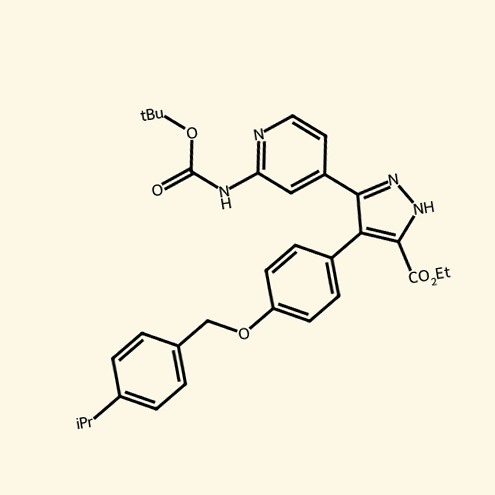 CCOC(=O)c1[nH]nc(-c2ccnc(NC(=O)OC(C)(C)C)c2)c1-c1ccc(OCc2ccc(C(C)C)cc2)cc1